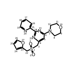 O=S(=O)(Cc1cc(N2CCOCC2)nc(-c2ccccn2)n1)Cc1ccco1